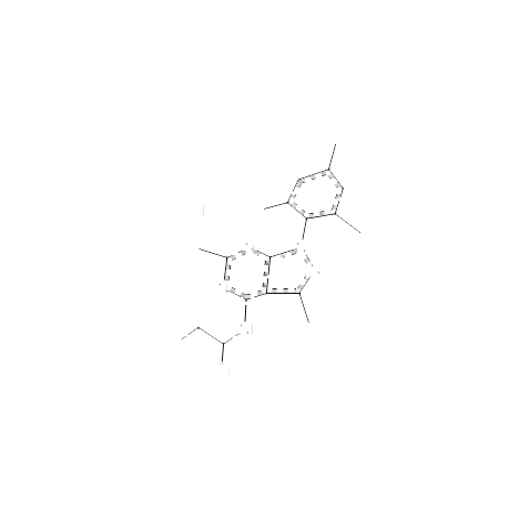 CCC(CO)Nc1nc(C)nc2c1c(C)nn2-c1c(C)cc(C)cc1C.Cl